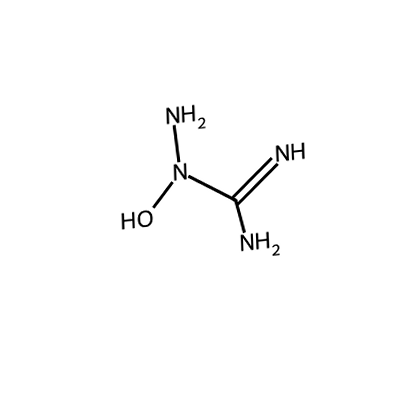 N=C(N)N(N)O